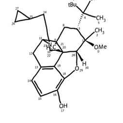 CO[C@]1(C)[C@@H](C(C)(O)C(C)(C)C)C[C@]2(C)C3Cc4ccc(O)c5c4[C@@]2(CCN3CC2CC2)[C@H]1O5